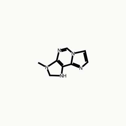 CN1CNc2c1ncn1ccnc21